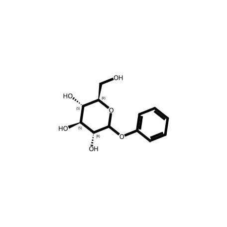 OC[C@H]1OC(Oc2[c]cccc2)[C@H](O)[C@@H](O)[C@@H]1O